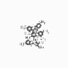 Cc1cc(C)c(Nc2nc(N(c3nc4ccc(C)cc4s3)c3c(C)cc(C)cc3C)cc(C)c2/N=N/c2c(C#N)c(C(C)(C)C)nn2-c2nc3ccc(C)cc3s2)c(C)c1